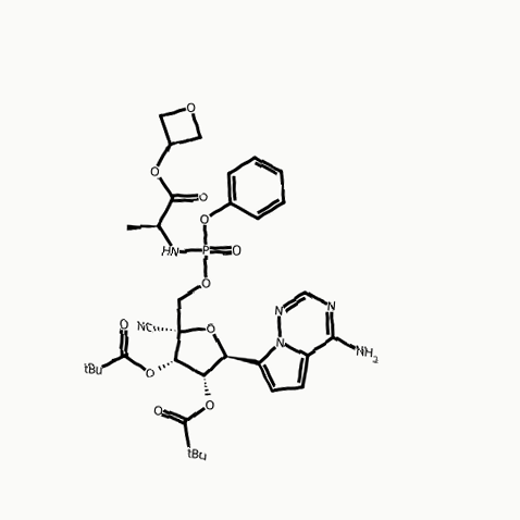 C[C@H](NP(=O)(OC[C@@]1(C#N)O[C@@H](c2ccc3c(N)ncnn23)[C@H](OC(=O)C(C)(C)C)[C@@H]1OC(=O)C(C)(C)C)Oc1ccccc1)C(=O)OC1COC1